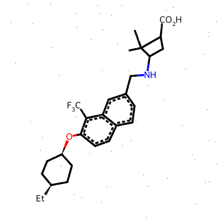 CC[C@H]1CC[C@@H](Oc2ccc3ccc(CNC4CC(C(=O)O)C4(C)C)cc3c2C(F)(F)F)CC1